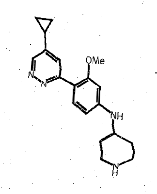 COc1cc(NC2CCNCC2)ccc1-c1cc(C2CC2)cnn1